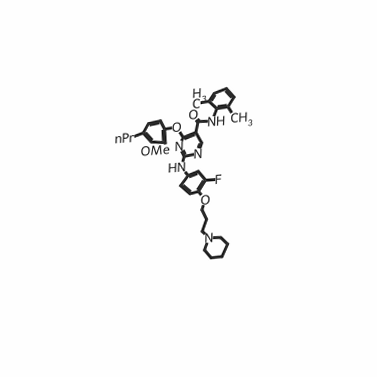 CCCc1ccc(Oc2nc(Nc3ccc(OCCCN4CCCCC4)c(F)c3)ncc2C(=O)Nc2c(C)cccc2C)c(OC)c1